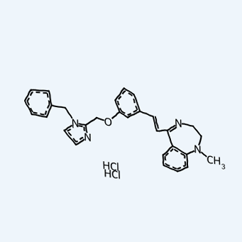 CN1CCN=C(C=Cc2cccc(OCc3nccn3Cc3ccccc3)c2)c2ccccc21.Cl.Cl